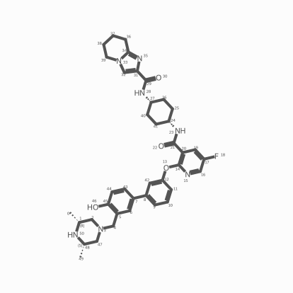 C[C@@H]1CN(Cc2cc(-c3cccc(Oc4ncc(F)cc4C(=O)N[C@H]4CC[C@@H](NC(=O)c5cn6c(n5)CCCC6)CC4)c3)ccc2O)C[C@H](C)N1